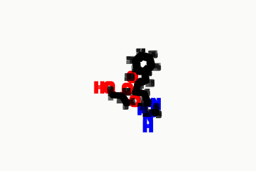 OCC1COC(Cc2nc[nH]n2)(c2cc3ccccc3o2)O1